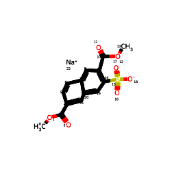 COC(=O)c1ccc2cc(C(=O)OC)c(S(=O)(=O)[O-])cc2c1.[Na+]